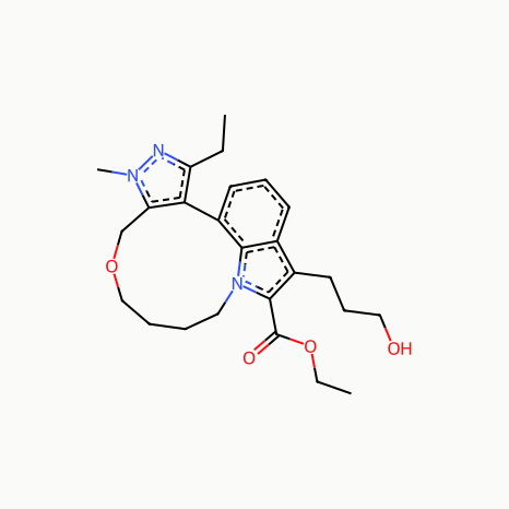 CCOC(=O)c1c(CCCO)c2cccc3c2n1CCCCOCc1c-3c(CC)nn1C